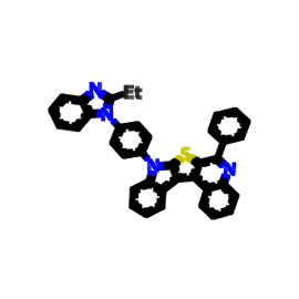 CCc1nc2ccccc2n1-c1ccc(-n2c3ccccc3c3c4c(sc32)c(-c2ccccc2)nc2ccccc24)cc1